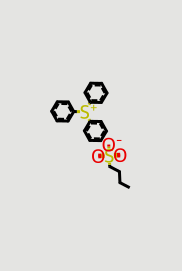 CCCCS(=O)(=O)[O-].c1ccc([S+](c2ccccc2)c2ccccc2)cc1